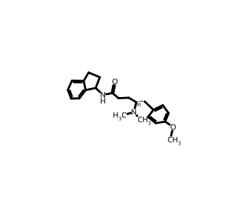 COc1ccc(C[C@@H](CCC(=O)NC2CCc3ccccc32)N(C)C)cc1